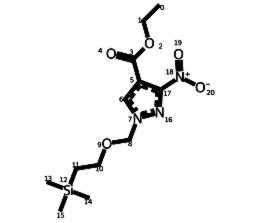 CCOC(=O)c1cn(COCC[Si](C)(C)C)nc1[N+](=O)[O-]